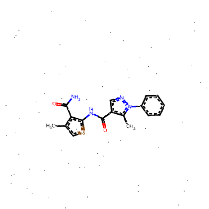 Cc1csc(NC(=O)c2cnn(-c3ccccc3)c2C)c1C(N)=O